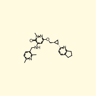 Cc1ccc(CNc2cc(OC[C@H]3C[C@@H]3c3ccc4c(n3)CCC4)nn(C)c2=O)c(C)n1